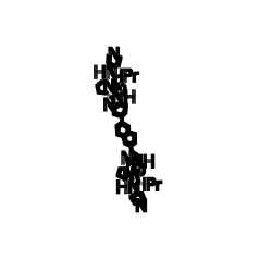 CC(C)[C@H](Nc1ccncc1)C(=O)N1CCC[C@H]1c1nc(-c2ccc3cc(-c4ccc5[nH]c([C@@H]6CCCN6C(=O)[C@@H](Nc6ccncc6)C(C)C)nc5c4)ccc3c2)c[nH]1